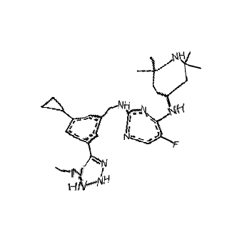 CN1NNN=C1c1cc(Nc2ncc(F)c(NC3CC(C)(C)NC(C)(C)C3)n2)cc(C2CC2)c1